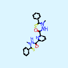 CN(NC(=O)c1cccc(C(=O)NN(C)C(=S)c2ccccc2)n1)C(=S)c1ccccc1